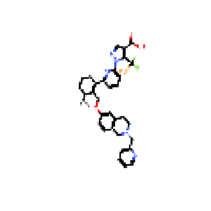 CC1CCCC(c2cccc(-n3ncc(C(=O)O)c3C(F)(F)P)n2)=C1COc1ccc2c(c1)CCN(Cc1ccccn1)C2